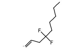 [CH]=CCC(F)(F)CCCCC